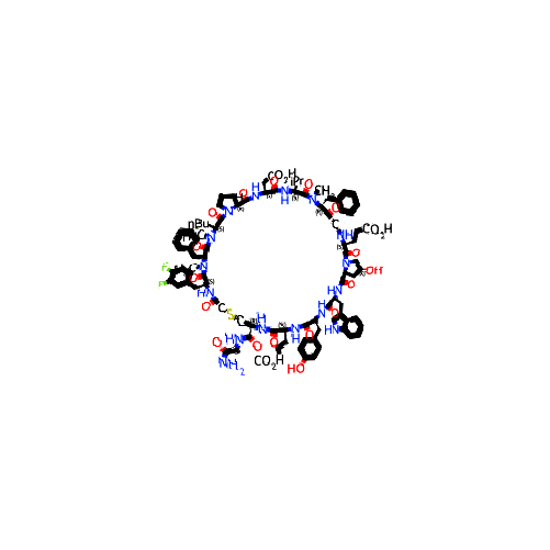 CCCC[C@H]1C(=O)N2CCC[C@@H]2C(=O)N[C@@H](CC(=O)O)C(=O)N[C@@H](C(C)C)C(=O)N(C)[C@H](Cc2ccccc2)C(=O)CN[C@@H](CCC(=O)O)C(=O)N2C[C@H](O)CC2C(=O)N[C@@H](Cc2c[nH]c3ccccc23)C(=O)N[C@@H](Cc2ccc(O)cc2)C(=O)N[C@@H](CCC(=O)O)C(=O)N[C@H](C(=O)NCC(N)=O)CSCC(=O)N[C@@H](Cc2ccc(F)c(F)c2)C(=O)N(C)C(Cc2ccccc2)C(=O)N1C